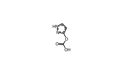 O=C(O)Oc1cc[nH]n1